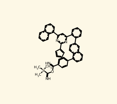 C[Si](C)(C)C(=N)OC(=N)C1=C=C=C(c2cccc3cc(-c4ccccc4-c4cc(-c5cccc6ccccc56)nc(C5=CC=C=C5)n4)ccc23)C=C1